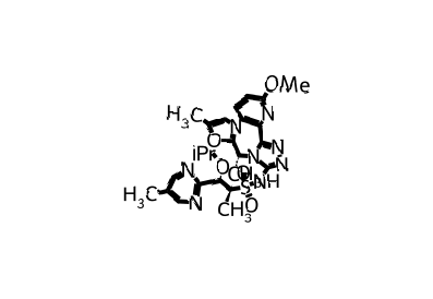 COc1cccc(-c2nnc(NS(=O)(=O)[C@@H](C)[C@@H](OC(C)C)c3ncc(C)cn3)n2[C@H](C)c2ncc(C)o2)n1